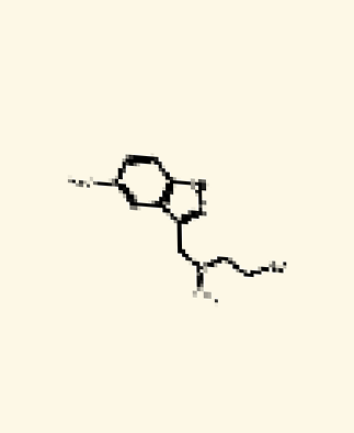 CNCCN(C)Cc1n[nH]c2ccc(OC)cc12